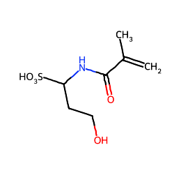 C=C(C)C(=O)NC(CCO)S(=O)(=O)O